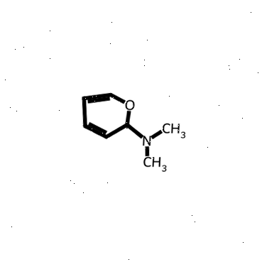 CN(C)[C]1C=CC=CO1